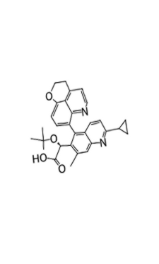 Cc1cc2nc(C3CC3)ccc2c(-c2ccc3c4c(ccnc24)CCO3)c1[C@H](OC(C)(C)C)C(=O)O